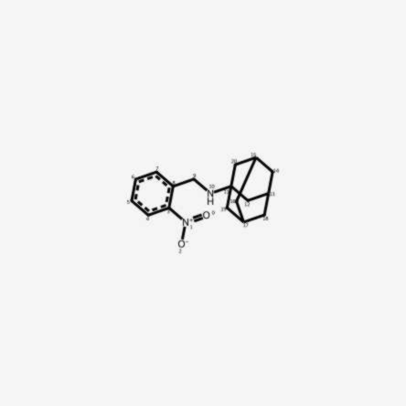 O=[N+]([O-])c1ccccc1CNC12CC3CC(CC(C3)C1)C2